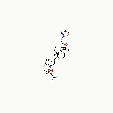 C[C@H]1CC[C@]2(O)C(C(F)F)C2[C@@H]1CC[C@@H]1CCC[C@]2(C)[C@@H](C(=O)Cc3nccs3)CC[C@@H]12